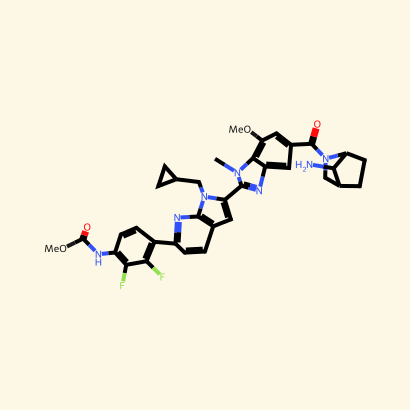 COC(=O)Nc1ccc(-c2ccc3cc(-c4nc5cc(C(=O)N6CC7CCC6C7N)cc(OC)c5n4C)n(CC4CC4)c3n2)c(F)c1F